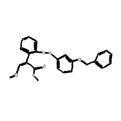 CO/C=C(\C(=O)OC)c1ccccc1COc1cccc(OCc2ccccc2)c1